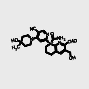 CC1(O)CCN(c2cc([N+]3(C(N)=O)CCCc4cc(CO)c(C=O)nc43)ncc2C#N)CC1